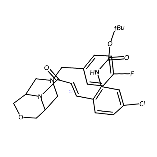 CC(C)(C)OC(=O)Nc1cc(Cl)ccc1/C=C/C(=O)N1C2COCC1CN(Cc1ccc(F)cc1)C2